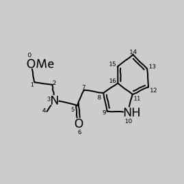 COCCN(C)C(=O)Cc1c[nH]c2ccccc12